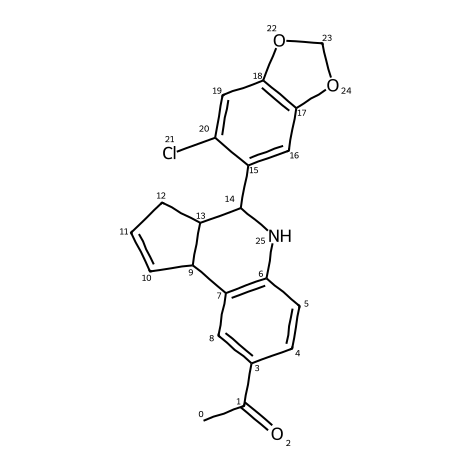 CC(=O)c1ccc2c(c1)C1C=CCC1C(c1cc3c(cc1Cl)OCO3)N2